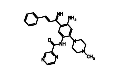 CN1CCN(c2cc(N)c(C(=N)/C=C/c3ccccc3)cc2NC(=O)c2cnccn2)CC1